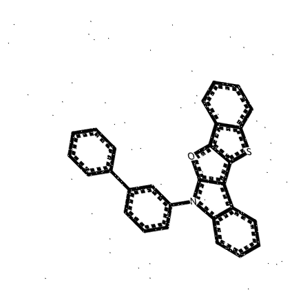 c1ccc(-c2cccc(-n3c4ccccc4c4c5sc6ccccc6c5oc43)c2)cc1